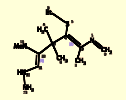 C=N/C(C)=C(\SCC)C(C)(C)/C(=C/NN)NC